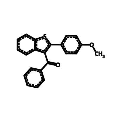 COc1ccc(-c2sc3ccccc3c2C(=O)c2ccccc2)cc1